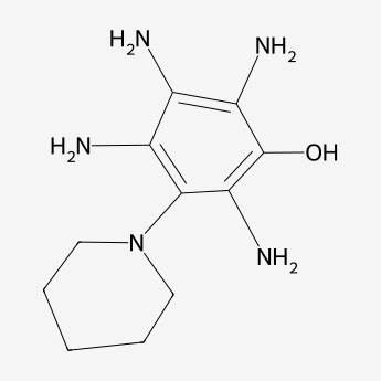 Nc1c(N)c(O)c(N)c(N2CCCCC2)c1N